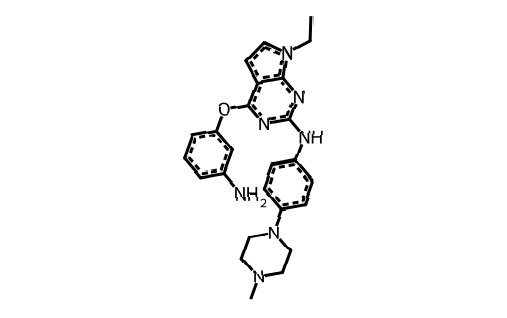 CCn1ccc2c(Oc3cccc(N)c3)nc(Nc3ccc(N4CCN(C)CC4)cc3)nc21